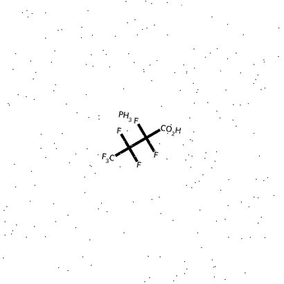 O=C(O)C(F)(F)C(F)(F)C(F)(F)F.P